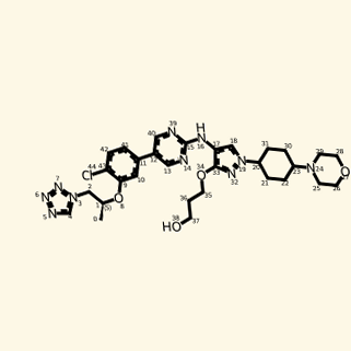 C[C@@H](Cn1cnnn1)Oc1cc(-c2cnc(Nc3cn(C4CCC(N5CCOCC5)CC4)nc3OCCCO)nc2)ccc1Cl